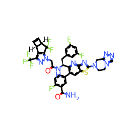 NC(=O)c1cc(-c2cc3sc(N4CCn5cnnc5C4)nc3nc2[C@H](Cc2cc(F)cc(F)c2)NC(=O)Cn2nc(C(F)(F)F)c3c2C(F)(F)[C@@H]2C=C[C@H]32)ccc1F